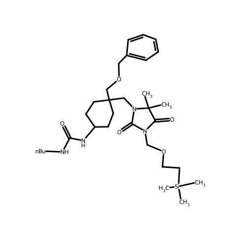 CCCCNC(=O)NC1CCC(COCc2ccccc2)(CN2C(=O)N(COCC[Si](C)(C)C)C(=O)C2(C)C)CC1